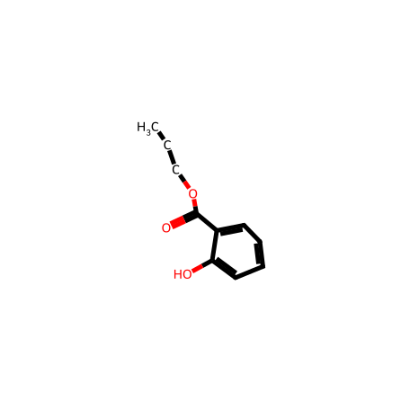 CCCOC(=O)c1ccccc1O